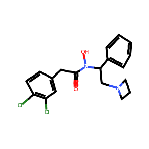 O=C(Cc1ccc(Cl)c(Cl)c1)N(O)C(CN1CCC1)c1ccccc1